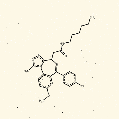 COc1ccc2c(c1)C(c1ccc(Cl)cc1)=NC(CC(=O)NCCCCCN)c1nnc(C)n1-2